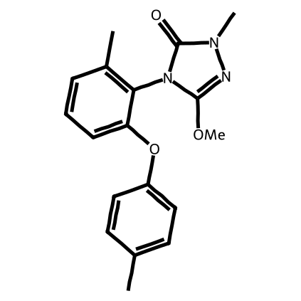 COc1nn(C)c(=O)n1-c1c(C)cccc1Oc1ccc(C)cc1